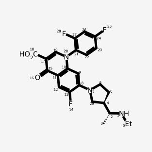 CCN[C@H](C)[C@@H]1CCN(c2cc3c(cc2F)c(=O)c(C(=O)O)cn3-c2ccc(F)cc2F)C1